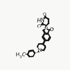 C[C@H]1CC[C@H](CN2CCC(c3ccc4c(c3)CN(C3CCC(=O)NC3=O)C4=O)CC2)CC1